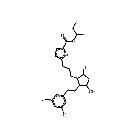 CC(CI)OC(=O)c1ccc(CCCC2C(Cl)CC(O)C2CCc2cc(Cl)cc(Cl)c2)s1